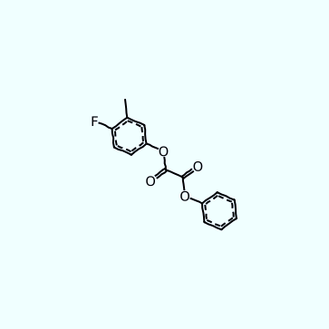 Cc1cc(OC(=O)C(=O)Oc2ccccc2)ccc1F